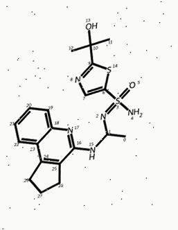 CC(N=S(N)(=O)c1cnc(C(C)(C)O)s1)Nc1nc2ccccc2c2c1CCC2